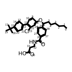 CCCCCCC(Oc1ccc(-c2ccc(C(C)(C)C)cc2)c(Cl)c1)c1ccc(C(=O)NCCC(=O)O)cc1